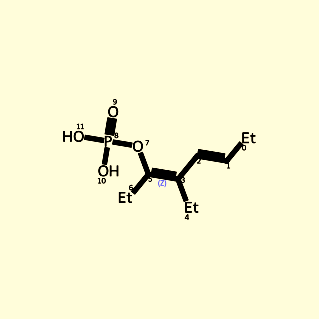 CCC=C/C(CC)=C(/CC)OP(=O)(O)O